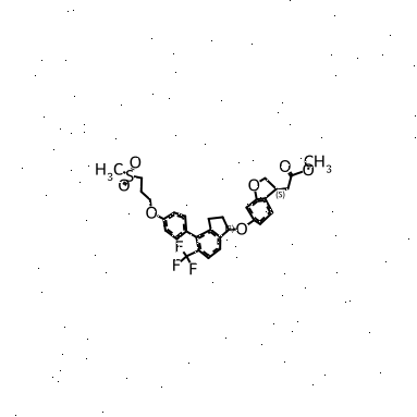 COC(=O)C[C@@H]1COc2cc(O[C@@H]3CCc4c3ccc(C(F)(F)F)c4-c3ccc(OCCCS(C)(=O)=O)cc3)ccc21